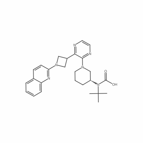 CC(C)(C)N(C(=O)O)[C@H]1CCCN(c2nccnc2C2CN(c3ccc4ccccc4n3)C2)C1